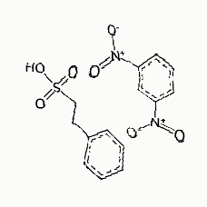 O=S(=O)(O)CCc1ccccc1.O=[N+]([O-])c1cccc([N+](=O)[O-])c1